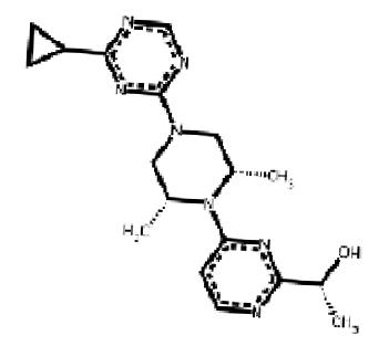 C[C@@H]1CN(c2ncnc(C3CC3)n2)C[C@H](C)N1c1ccnc([C@@H](C)O)n1